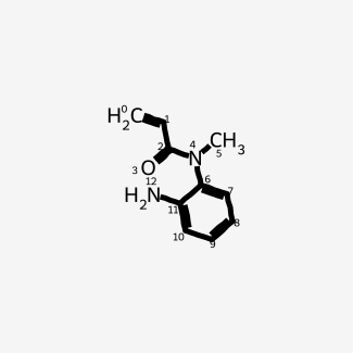 C=CC(=O)N(C)c1ccccc1N